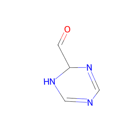 O=CC1N=CN=CN1